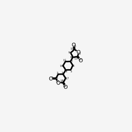 O=C1CC(C2CCC(C3CC(=O)OC3=O)CC2)CC(=O)O1